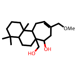 COCC1=CCC2C3(C)CCCC(C)(C)C3CCC2(CO)C(O)C1